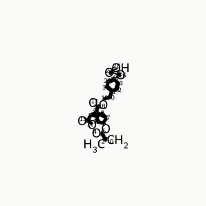 C=C(C)C(=O)OC1C2CC3C1OC(=O)C3C2C(=O)OCCc1ccc(S(=O)(=O)O)cc1